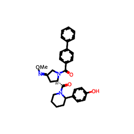 CON=C1C[C@@H](C(=O)N2CCCCC2c2ccc(O)cc2)N(C(=O)c2ccc(-c3ccccc3)cc2)C1